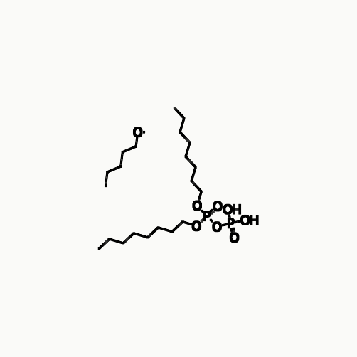 CCCCCCCCOP(=O)(OCCCCCCCC)OP(=O)(O)O.CCCCC[O]